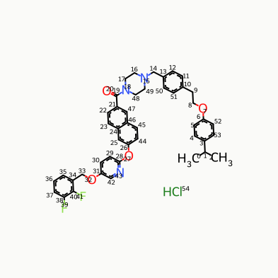 CC(C)c1ccc(OCCc2ccc(CN3CCN(C(=O)c4ccc5cc(Oc6ccc(OCc7cccc(F)c7F)cn6)ccc5c4)CC3)cc2)cc1.Cl